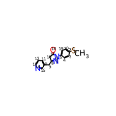 CSc1ccc(N2N=C(Cc3cccnc3)CC2=O)cc1